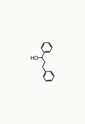 OC(CCc1ccccc1)c1ccccc1